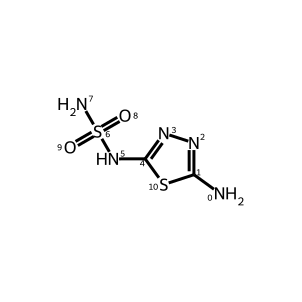 Nc1nnc(NS(N)(=O)=O)s1